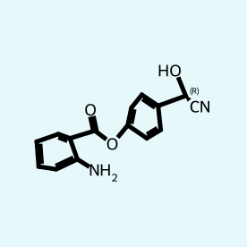 N#C[C@H](O)c1ccc(OC(=O)c2ccccc2N)cc1